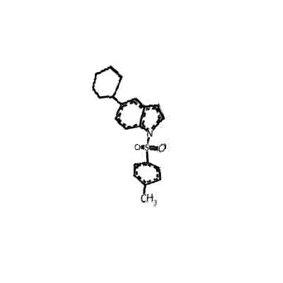 Cc1ccc(S(=O)(=O)n2ccc3cc(C4CCCCC4)ccc32)cc1